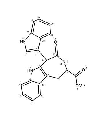 COC(=O)C1Cc2c([nH]c3ccccc23)C(c2c[nH]c3ccccc23)C(=O)N1